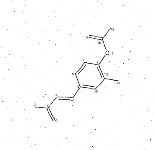 C=C(C)/C=C/c1ccc(OC(=C)C)c(C)c1